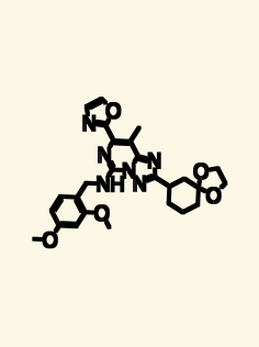 COc1ccc(CNc2nc(-c3ncco3)c(C)c3nc(C4CCCC5(C4)OCCO5)nn23)c(OC)c1